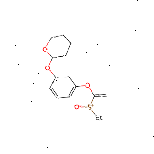 C=C(OC1=CC=CC(OC2CCCCO2)C1)[S+]([O-])CC